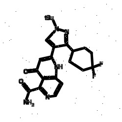 CC(C)(C)n1cc(-c2cc(=O)c3c(C(N)=O)nccc3[nH]2)c(C2CCC(F)(F)CC2)n1